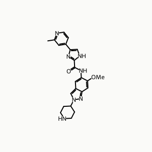 COc1cc2nn(C3CCNCC3)cc2cc1NC(=O)c1nc(-c2ccnc(C)c2)c[nH]1